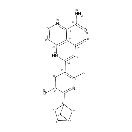 Cc1nc(C23CCC(C2)C3)c(Cl)cc1-c1cc(=O)c2c(C(N)=O)nccc2[nH]1